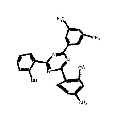 Cc1cc(-c2nc(-c3ccccc3O)nc(-c3ccc(C)cc3O)n2)cc(C(F)(F)F)c1